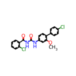 COc1cc(NC(=O)NC(=O)c2ccccc2Cl)ccc1-c1ccc(Cl)cc1